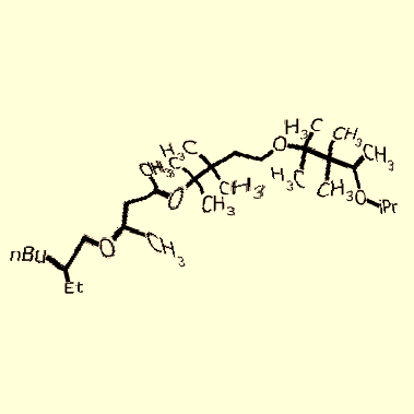 CCCCC(CC)COC(C)CC(C)OC(C)(C)C(C)(C)CCOC(C)(C)C(C)(C)C(C)OC(C)C